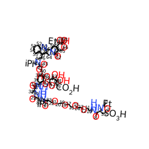 CCC(=O)N[C@@H](CS(=O)(=O)O)C(=O)NCCOCCOCCOCCOCCC(=O)N[C@H](C(=O)N[C@@H](C)C(=O)Nc1ccc(COC(=O)N(CCc2c3c(nc4ccccc24)-c2cc4c(c(=O)n2C3)COC(=O)[C@]4(O)CC)C(C)C)cc1O[C@@H]1O[C@H](C(=O)O)[C@@H](O)[C@H](O)[C@H]1O)C(C)C